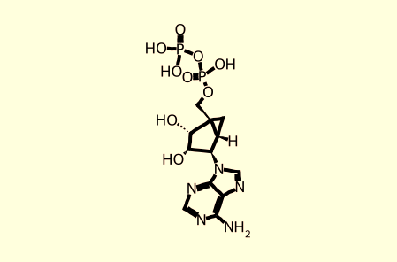 Nc1ncnc2c1ncn2[C@H]1[C@H](O)[C@H](O)[C@]2(COP(=O)(O)OP(=O)(O)O)C[C@H]12